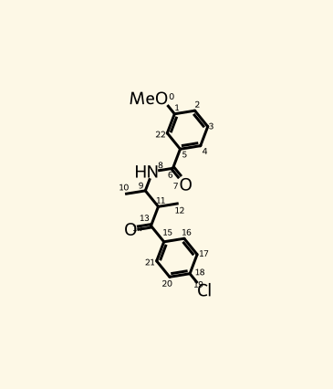 COc1cccc(C(=O)NC(C)C(C)C(=O)c2ccc(Cl)cc2)c1